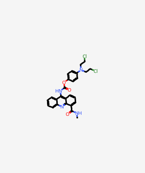 CNC(=O)c1cccc2c(NC(=O)Oc3ccc(N(CCCl)CCCl)cc3)c3ccccc3nc12